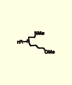 CCCN(CCCCOC)CCNC